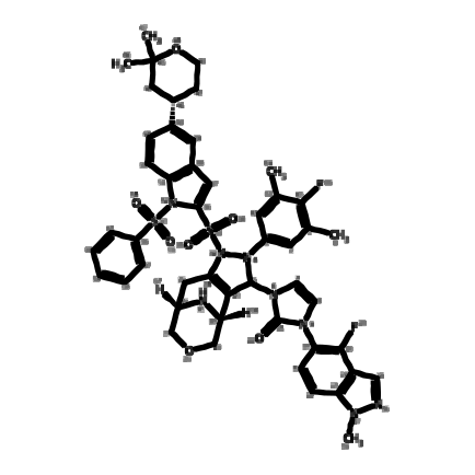 Cc1cc(N2C(n3ccn(-c4ccc5c(cnn5C)c4F)c3=O)C3=C(C[C@H]4COC[C@@H]3N4)N2S(=O)(=O)c2cc3cc([C@H]4CCOC(C)(C)C4)ccc3n2S(=O)(=O)c2ccccc2)cc(C)c1F